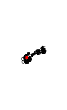 CCCCC(C)(C)C(=O)n1c(=O)ccc2ccc(OCCCCN3CCN(c4cccc5sccc45)CC3)cc21